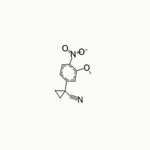 COc1cc(C2(C#N)CC2)ccc1[N+](=O)[O-]